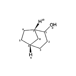 OC1CC[C@@H]2CC[C@H]1C2